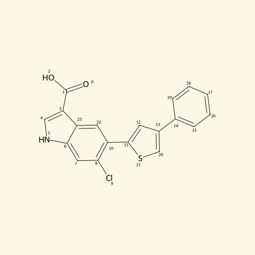 O=C(O)c1c[nH]c2cc(Cl)c(-c3cc(-c4ccccc4)cs3)cc12